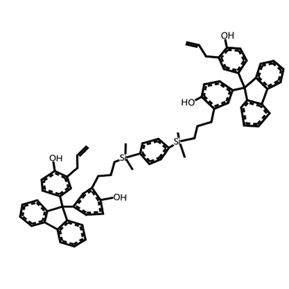 C=CCc1cc(C2(c3ccc(O)c(CCC[Si](C)(C)c4ccc([Si](C)(C)CCCc5cc(C6(c7ccc(O)c(CC=C)c7)c7ccccc7-c7ccccc76)ccc5O)cc4)c3)c3ccccc3-c3ccccc32)ccc1O